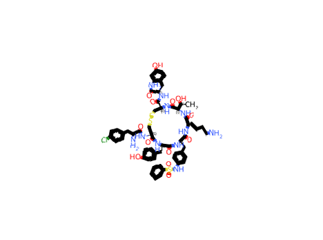 C[C@@H](O)[C@@H]1NC(=O)[C@H](CCCCN)NC(=O)[C@@H](Cc2ccc(NS(=O)(=O)c3ccccc3)cc2)NC(=O)[C@H](Cc2ccc(O)cc2)NC(=O)[C@H](NC(=O)[C@@H](N)Cc2ccc(Cl)cc2)CSSC[C@@H](C(=O)N[C@H](Cc2ccc(O)cc2)C(N)=O)NC1=O